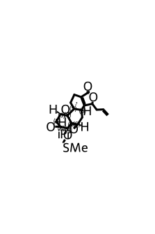 C=CCC1OC(=O)C2=C1[C@@H]1C[C@@H]3O[C@@]34[C@H](OCSC)[C@@]3(C(C)C)O[C@H]3[C@@H]3O[C@@]34[C@@]1(C)CC2